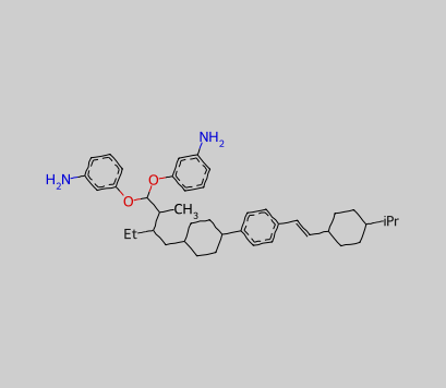 CCC(CC1CCC(c2ccc(/C=C/C3CCC(C(C)C)CC3)cc2)CC1)C(C)C(Oc1cccc(N)c1)Oc1cccc(N)c1